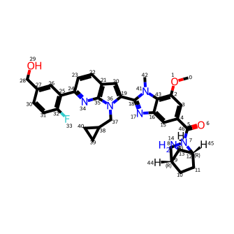 COc1cc(C(=O)N2C[C@H]3CC[C@@H]2[C@@H]3N)cc2nc(-c3cc4ccc(-c5cc(CO)ccc5F)nc4n3CC3CC3)n(C)c12